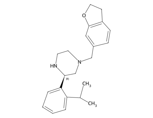 CC(C)c1ccccc1[C@@H]1CN(Cc2ccc3c(c2)OCC3)CCN1